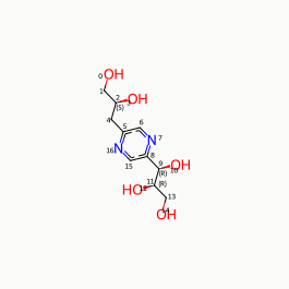 OC[C@@H](O)Cc1cnc([C@@H](O)[C@H](O)CO)cn1